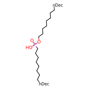 CCCCCCCCCCCCCCCCCCOP(=O)(O)CCCCCCCCCCCCCCCCCC